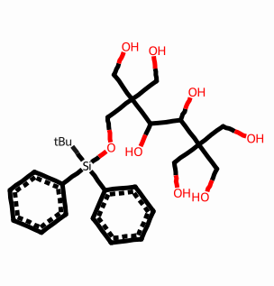 CC(C)(C)[Si](OCC(CO)(CO)C(O)C(O)C(CO)(CO)CO)(c1ccccc1)c1ccccc1